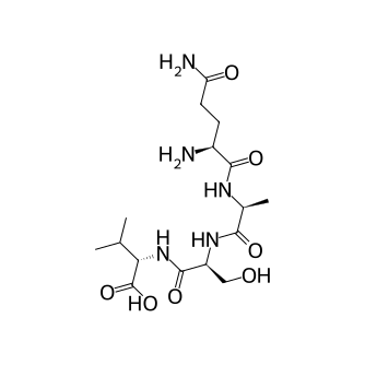 CC(C)[C@H](NC(=O)[C@H](CO)NC(=O)[C@H](C)NC(=O)[C@@H](N)CCC(N)=O)C(=O)O